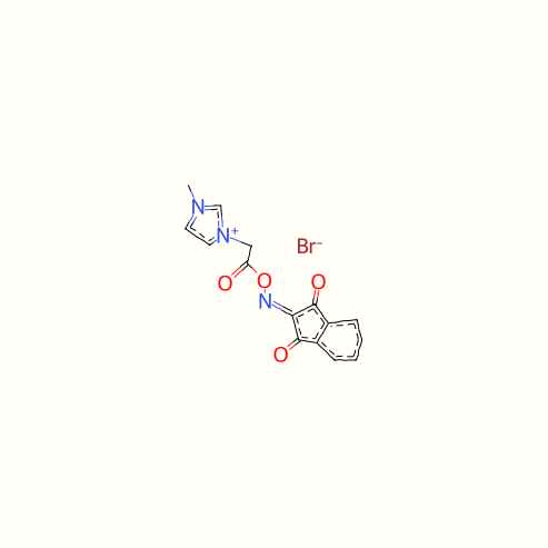 Cn1cc[n+](CC(=O)ON=c2c(=O)c3ccccc3c2=O)c1.[Br-]